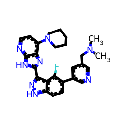 CN(C)Cc1cncc(-c2ccc3[nH]nc(-c4nc5c(N6CCCCC6)ccnc5[nH]4)c3c2F)c1